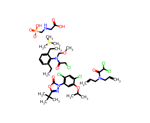 C=CCN(CC=C)C(=O)C(Cl)Cl.CC(C)Oc1cc(-n2nc(C(C)(C)C)oc2=O)c(Cl)cc1Cl.CCc1cccc(CC)c1N(COC)C(=O)CCl.C[S+](C)C.O=C(O)CNCP(=O)([O-])O